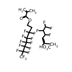 C=C(C)C(=O)OCCC(F)(F)C(F)(F)C(F)(F)C(F)(F)C(F)(F)C(F)(F)F.CC(=CC(F)C(F)C(F)F)C(=O)O